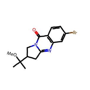 COC(C)(C)C1Cc2nc3cc(Br)ccc3c(=O)n2C1